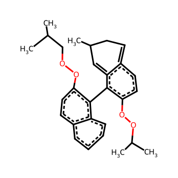 CC(C)COOc1ccc2ccccc2c1-c1c(OOC(C)C)ccc2c1=CC(C)CC=2